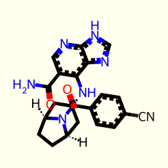 N#Cc1ccc(C(=O)N2[C@@H]3CC[C@H]2C[C@H](Nc2c(C(N)=O)cnc4[nH]cnc24)C3)cc1